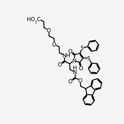 O=C(O)CCOCCOCCNC(=O)C(CNC(=O)OCC1c2ccccc2-c2ccccc21)N1C(=O)C(Sc2ccccc2)=C(Sc2ccccc2)C1=O